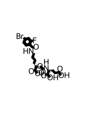 O=C(O)CC[C@H](NC(=O)O[C@@H](CCCCNC(=O)c1ccc(Br)cc1F)C(=O)O)C(=O)O